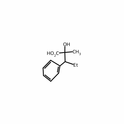 CCC(c1ccccc1)C(C)(O)C(=O)O